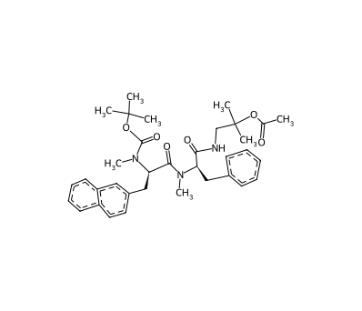 CC(=O)OC(C)(C)CNC(=O)[C@@H](Cc1ccccc1)N(C)C(=O)[C@@H](Cc1ccc2ccccc2c1)N(C)C(=O)OC(C)(C)C